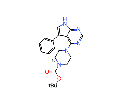 C[C@@H]1CN(c2ncnc3[nH]cc(-c4ccccc4)c23)CCN1C(=O)OC(C)(C)C